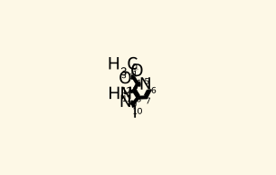 COC(=O)c1nccc2c(I)n[nH]c12